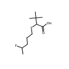 CC(F)CCCSC(C(=O)O)C(C)(C)C